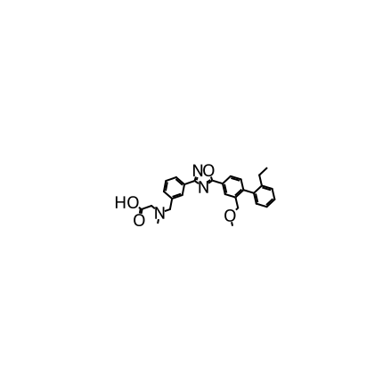 CCc1ccccc1-c1ccc(-c2nc(-c3cccc(CN(C)CC(=O)O)c3)no2)cc1COC